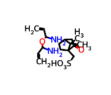 C=CC(N)OC(N)C=C.CC1(C)C2CCC1(CS(=O)(=O)O)C(=O)C2